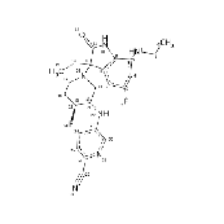 CCNc1cc(F)cc2c1NC(=O)C2(CC)N1CC[C@H](F)[C@@H](Nc2ccc(C#N)nc2)C1